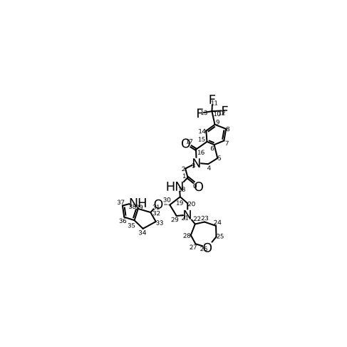 O=C(CN1CCc2ccc(C(F)(F)F)cc2C1=O)NC1CN(C2CCCOCC2)C[C@@H]1OC1CCc2cc[nH]c21